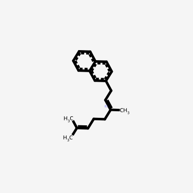 CC(C)=CCC/C(C)=C/Cc1ccc2ccccc2c1